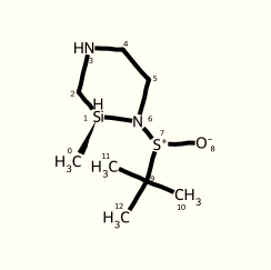 C[Si@H]1CNCCN1[S+]([O-])C(C)(C)C